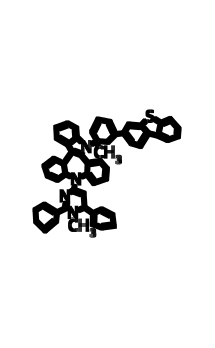 CN1C(C2=CCCC=C2)=NC(N2c3ccccc3-c3c(c4ccccc4n3C3(C)C=CC=C(c4ccc5c(c4)sc4ccccc45)C3)C3C=CC=CC32)=CC1c1ccccc1